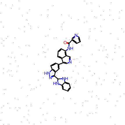 O=C(Nc1cccc2c(-c3ccc4[nH]nc(C5Nc6ccccc6N5)c4c3)cncc12)c1cccnc1